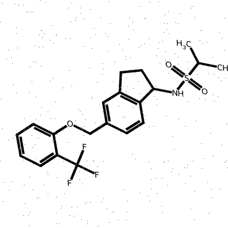 CC(C)S(=O)(=O)NC1CCc2cc(COc3ccccc3C(F)(F)F)ccc21